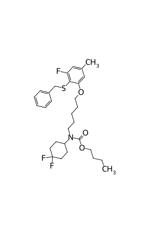 CCCCOC(=O)N(CCCCCOc1cc(C)cc(F)c1SCc1ccccc1)C1CCC(F)(F)CC1